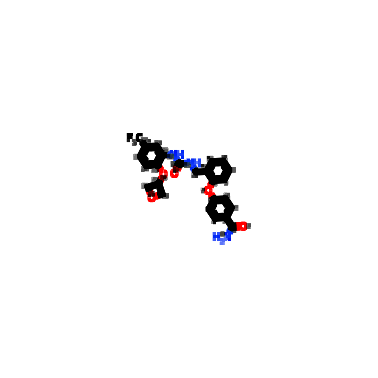 NC(=O)c1ccc(Oc2ccccc2CNC(=O)Nc2cc(C(F)(F)F)ccc2OC2COC2)cc1